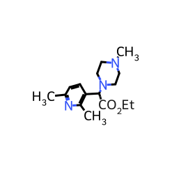 CCOC(=O)C(c1ccc(C)nc1C)N1CCN(C)CC1